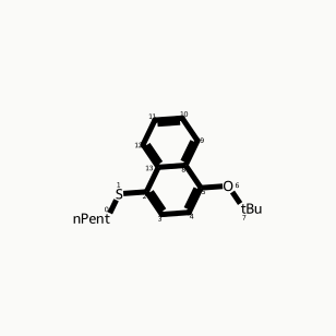 CCCCCSc1ccc(OC(C)(C)C)c2ccccc12